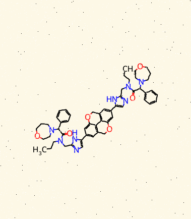 CCCN(Cc1ncc(-c2cc3c4c(c2)OCc2cc(-c5cnc(CN(CCC)C(=O)C(c6ccccc6)N6CCCOCC6)[nH]5)cc(c2-4)OC3)[nH]1)C(=O)C(c1ccccc1)N1CCCOCC1